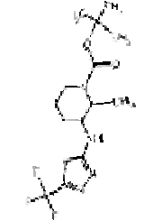 CC1C(Nc2nnc(C(F)(F)F)s2)CCCN1C(=O)OC(C)(C)C